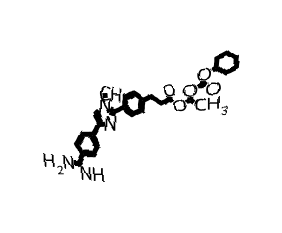 CC(OC(=O)CCc1ccc(-c2nc(-c3ccc(C(=N)N)cc3)cn2C)cc1)OC(=O)OC1CCCCC1